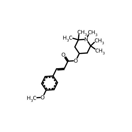 COc1ccc(C=CC(=O)OC2CC(C)(C)N(C)C(C)(C)C2)cc1